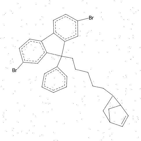 Brc1ccc2c(c1)C(CCCCCC1CC3C=CC1C3)(c1ccccc1)c1cc(Br)ccc1-2